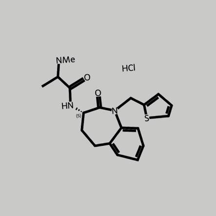 CNC(C)C(=O)N[C@H]1CCc2ccccc2N(Cc2cccs2)C1=O.Cl